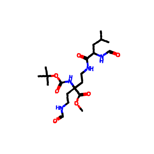 COC(=O)C(CCNC=O)(CCNC(=O)C(CC(C)C)NC=O)NC(=O)OC(C)(C)C